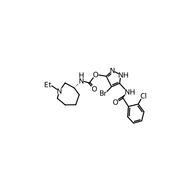 CCN1CCCC[C@@H](NC(=O)Oc2n[nH]c(NC(=O)c3ccccc3Cl)c2Br)C1